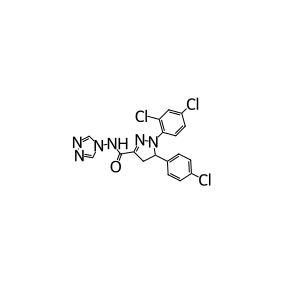 O=C(Nn1cnnc1)C1=NN(c2ccc(Cl)cc2Cl)C(c2ccc(Cl)cc2)C1